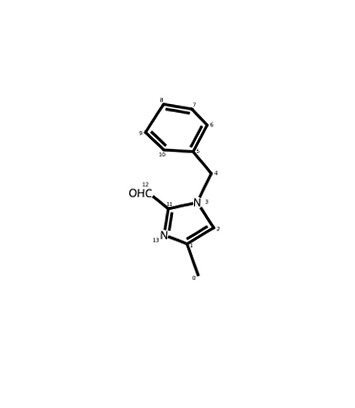 Cc1cn(Cc2ccccc2)c(C=O)n1